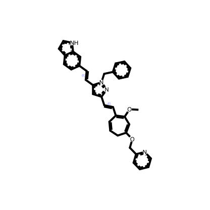 COC1=C(/C=C/c2cc(/C=C/c3ccc4cc[nH]c4c3)n(Cc3ccccc3)n2)C=CCC(OCc2ccccn2)=C1